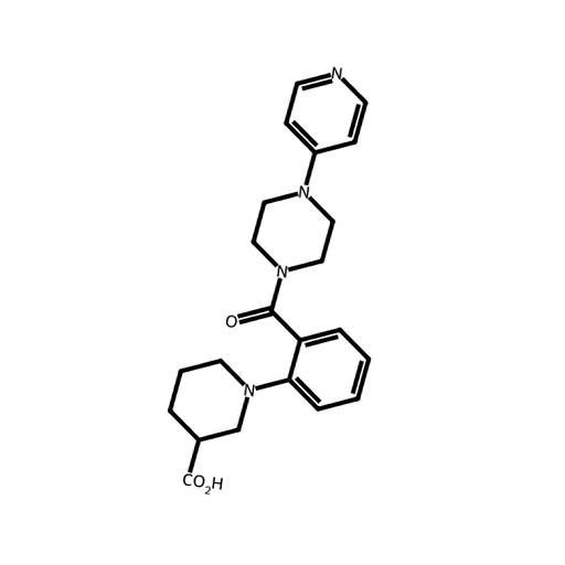 O=C(O)C1CCCN(c2ccccc2C(=O)N2CCN(c3ccncc3)CC2)C1